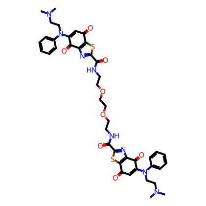 CN(C)CCN(C1=CC(=O)c2sc(C(=O)NCCOCCOCCNC(=O)c3nc4c(s3)C(=O)C=C(N(CCN(C)C)c3ccccc3)C4=O)nc2C1=O)c1ccccc1